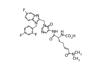 CN(C)C(=O)/C=C/CC[C@H](NC(=O)O)C(=O)Nc1cncn(Cc2nc3cc(F)ccc3n2Cc2ccc(F)cc2F)c1=O